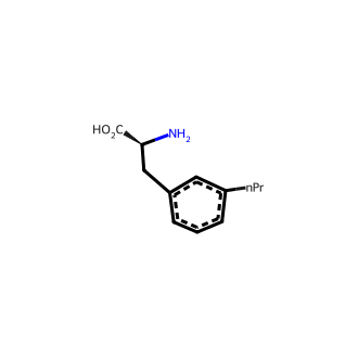 CCCc1cccc(C[C@H](N)C(=O)O)c1